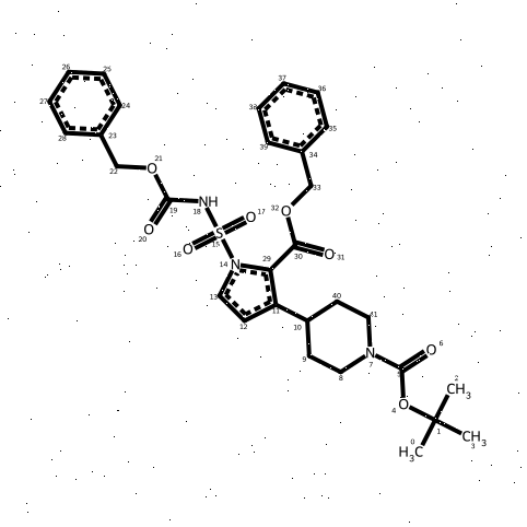 CC(C)(C)OC(=O)N1CCC(c2ccn(S(=O)(=O)NC(=O)OCc3ccccc3)c2C(=O)OCc2ccccc2)CC1